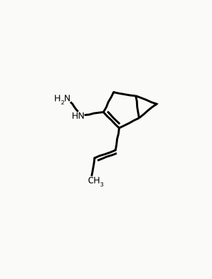 C/C=C/C1=C(NN)CC2CC12